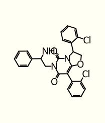 NC(Cn1c(=O)c(-c2ccccc2Cl)c2n(c1=O)C(c1ccccc1Cl)CO2)c1ccccc1